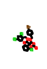 O=[C]OC(C(=O)OCc1ccc(Br)cc1)(C(=O)OCc1ccc(Cl)cc1Cl)c1ccccc1Cl